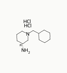 Cl.Cl.N[C@@H]1CCCN(CC2CCCCC2)C1